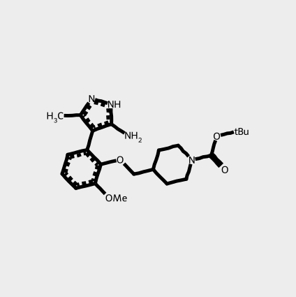 COc1cccc(-c2c(C)n[nH]c2N)c1OCC1CCN(C(=O)OC(C)(C)C)CC1